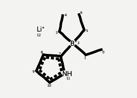 CC[B-](CC)(CC)c1ccc[nH]1.[Li+]